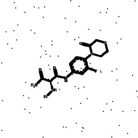 CCN[C@@H](C(N)=O)C(=O)Nc1ccc(N2CCOCC2=O)c(F)c1